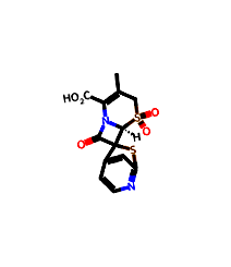 CC1=C(C(=O)O)N2C(=O)C3(Sc4cc3ccn4)[C@@H]2S(=O)(=O)C1